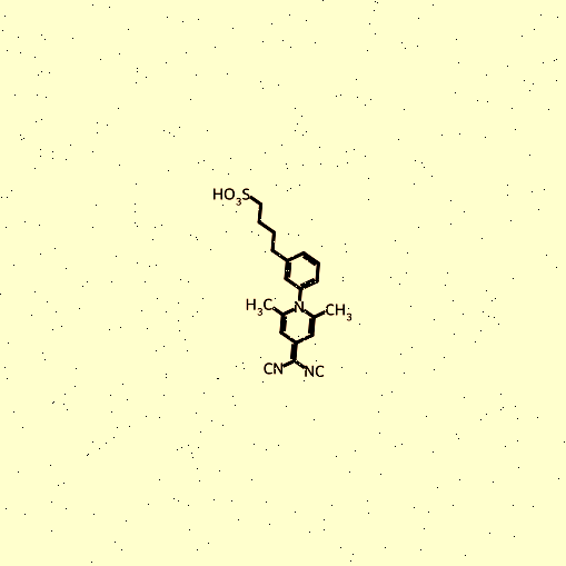 [C-]#[N+]C([N+]#[C-])=C1C=C(C)N(c2cccc(CCCCS(=O)(=O)O)c2)C(C)=C1